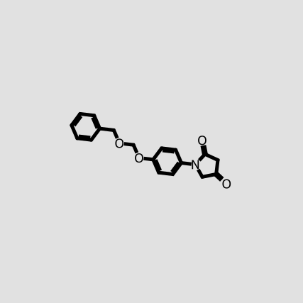 O=C1CC(=O)N(c2ccc(OCOCc3ccccc3)cc2)C1